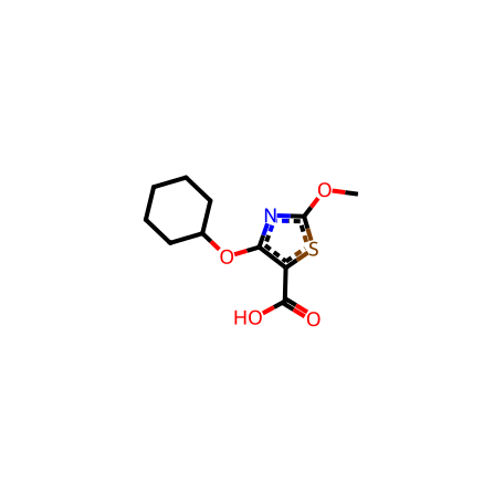 COc1nc(OC2CCCCC2)c(C(=O)O)s1